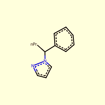 [CH2]CCC(c1ccccc1)n1cccn1